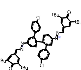 CC(C)(C)C1=CC(=C/N=N/c2ccc(-c3ccc(/N=N/C=C4C=C(C(C)(C)C)C(=O)C(C(C)(C)C)=C4)cc3-c3ccc(Cl)cc3)c(-c3ccc(Cl)cc3)c2)C=C(C(C)(C)C)C1=O